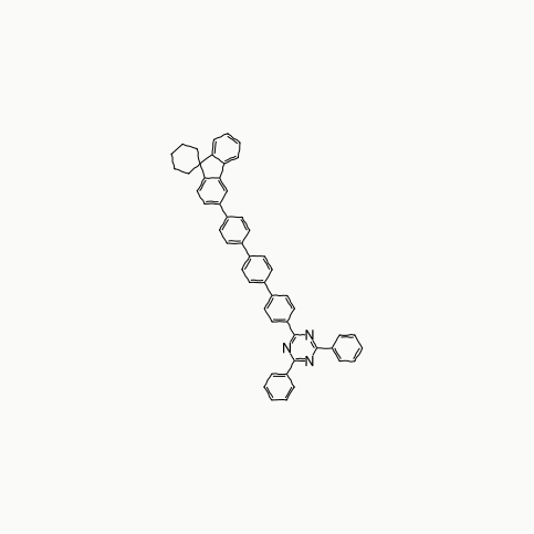 c1ccc(-c2nc(-c3ccccc3)nc(-c3ccc(-c4ccc(-c5ccc(-c6ccc7c(c6)-c6ccccc6C76CCCCC6)cc5)cc4)cc3)n2)cc1